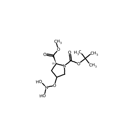 COC(=O)[C@@H]1CC(ON(O)O)CN1C(=O)OC(C)(C)C